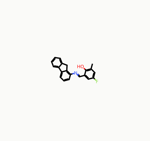 Cc1cc(F)cc(C=Nc2cccc3c2Cc2ccccc2-3)c1O